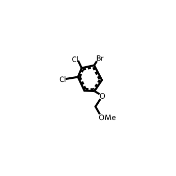 COCOc1cc(Cl)c(Cl)c(Br)c1